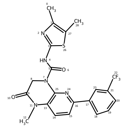 Cc1nc(NC(=O)N2CC(=O)N(C)c3ccc(-c4cccc(C(F)(F)F)c4)nc32)sc1C